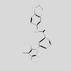 Cc1nn(-c2cccc(C(=O)N(C)c3ccc4c(c3)OCCN4)c2)c(C)c1Cl